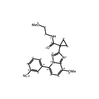 COCCNC(=O)C1(c2nc3c(OC)ccc(-c4cccc(C#N)c4)n3n2)CC1